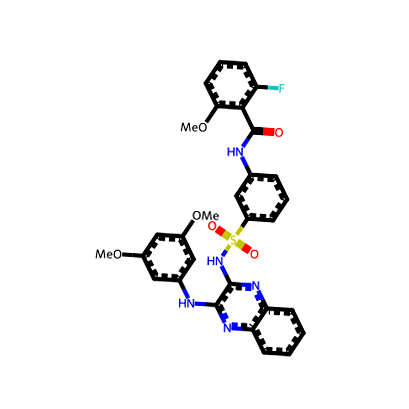 COc1cc(Nc2nc3ccccc3nc2NS(=O)(=O)c2cccc(NC(=O)c3c(F)cccc3OC)c2)cc(OC)c1